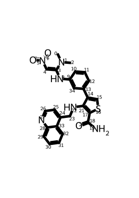 CN(C)C(=C[N+](=O)[O-])Nc1cccc(-c2csc(C(N)=O)c2NCc2ccnc3ccccc23)c1